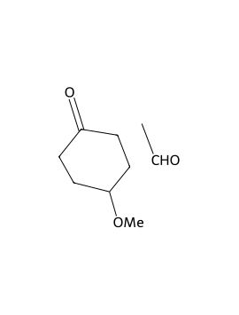 CC=O.COC1CCC(=O)CC1